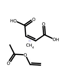 C.C=COC(C)=O.O=C(O)/C=C\C(=O)O